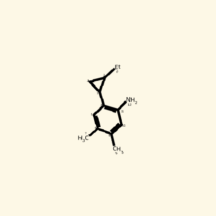 CCC1CC1c1cc(C)c(C)cc1N